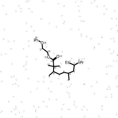 CCCC(CC)CC(C)CCC(C)C(C)(C)C(=O)OCCOC(C)C